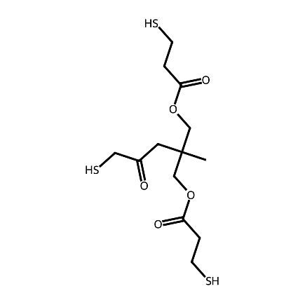 CC(COC(=O)CCS)(COC(=O)CCS)CC(=O)CS